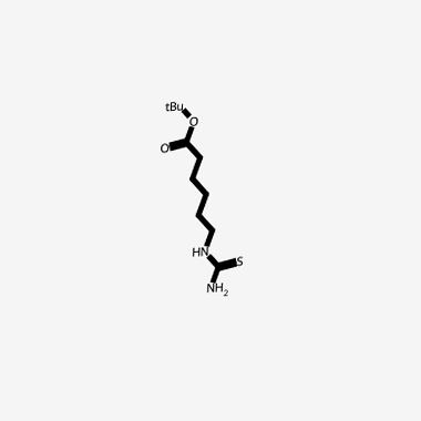 CC(C)(C)OC(=O)CCCCCNC(N)=S